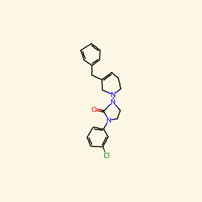 O=C1N(c2cccc(Cl)c2)CCN1N1CCC=C(Cc2ccccc2)C1